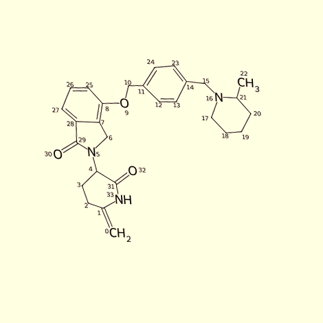 C=C1CCC(N2Cc3c(OCc4ccc(CN5CCCCC5C)cc4)cccc3C2=O)C(=O)N1